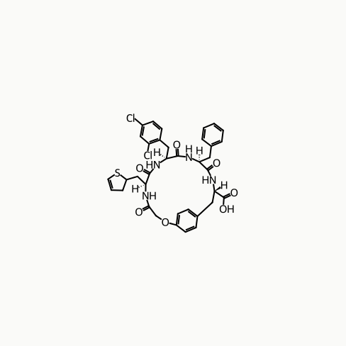 O=C1COc2ccc(cc2)C[C@@H](C(=O)O)NC(=O)[C@H](Cc2ccccc2)NC(=O)[C@H](Cc2ccc(Cl)cc2Cl)NC(=O)[C@H](CC2CC=CS2)N1